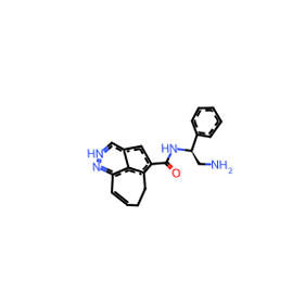 NC[C@@H](NC(=O)c1cc2c[nH]nc3c-2c1CCC=C3)c1ccccc1